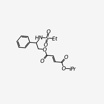 CCS(=O)(=O)NC(COC(=O)/C=C/C(=O)OC(C)C)c1ccccc1